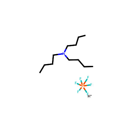 CCCCN(CCCC)CCCC.F[P-](F)(F)(F)(F)F.[H+]